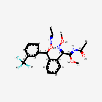 CC=NOC(c1cccc(C(F)(F)F)c1)c1ccccc1C(=NOC)C(=NC(C)=O)OC